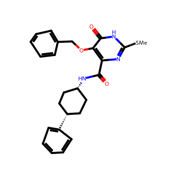 CSc1nc(C(=O)N[C@H]2CC[C@@H](c3ccccc3)CC2)c(OCc2ccccc2)c(=O)[nH]1